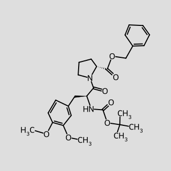 COc1ccc(C[C@H](NC(=O)OC(C)(C)C)C(=O)N2CCC[C@@H]2C(=O)OCc2ccccc2)cc1OC